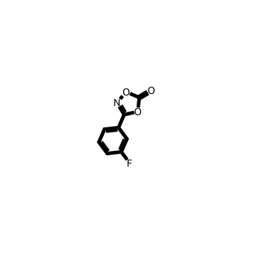 O=c1onc(-c2cccc(F)c2)o1